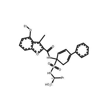 CCOc1cccc2oc(C(=O)NC3(S(=O)(=O)N[C@H](C(=O)O)C(C)C)C=CC(c4ccccc4)=CC3)c(C)c12